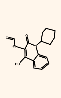 O=CNc1c(O)c2ccccc2n(C2CCCCC2)c1=O